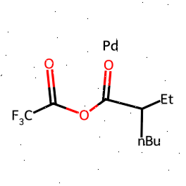 CCCCC(CC)C(=O)OC(=O)C(F)(F)F.[Pd]